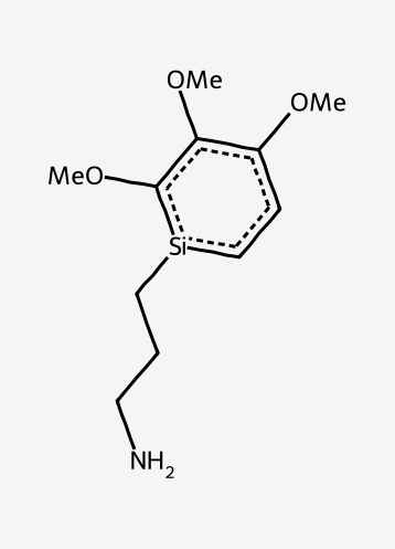 COc1cc[si](CCCN)c(OC)c1OC